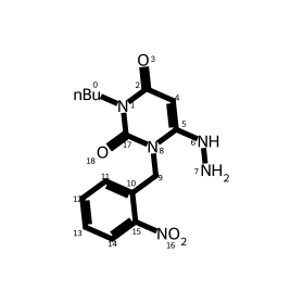 CCCCn1c(=O)cc(NN)n(Cc2ccccc2[N+](=O)[O-])c1=O